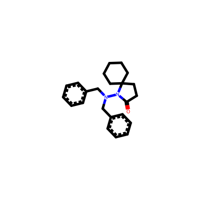 O=C1CCC2(CCCCC2)N1N(Cc1ccccc1)Cc1ccccc1